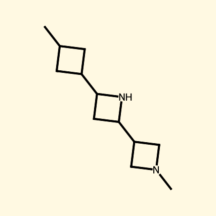 CC1CC(C2CC(C3CN(C)C3)N2)C1